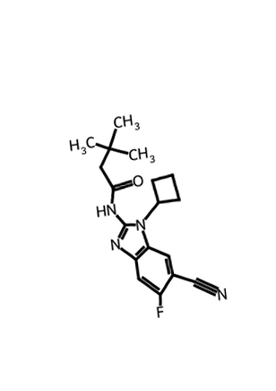 CC(C)(C)CC(=O)Nc1nc2cc(F)c(C#N)cc2n1C1CCC1